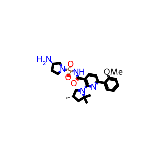 COc1ccccc1-c1ccc(C(=O)NS(=O)(=O)N2CC[C@H](N)C2)c(N2C[C@@H](C)CC2(C)C)n1